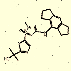 CN[S@@](=O)(=NC(=O)Nc1c2c(cc3c1CCC3)CCC2)c1cnc(C(C)(C)O)s1